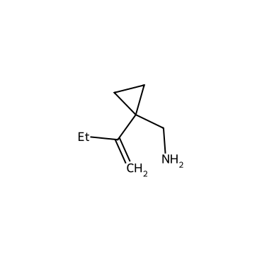 C=C(CC)C1(CN)CC1